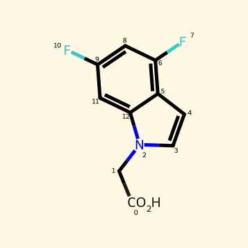 O=C(O)Cn1ccc2c(F)cc(F)cc21